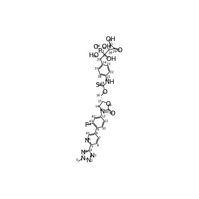 Cn1nnc(-c2ccc(-c3ccc(N4C[C@H](COC(=S)Nc5ccc(CC(O)(C6C(=O)C6O)P(=O)(O)O)cc5)OC4=O)cc3F)cn2)n1